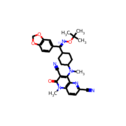 CN(c1c(C#N)c(=O)n(C)c2ccc(C#N)nc12)C1CCC(/C(=N\OC(C)(C)C)c2ccc3c(c2)OCO3)CC1